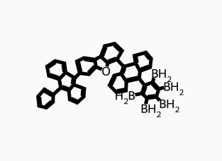 Bc1c(B)c(B)c(-c2c3ccccc3c(-c3cccc4c3oc3cc(-c5c6ccccc6c(-c6ccccc6)c6ccccc56)ccc34)c3ccccc23)c(B)c1B